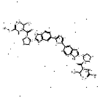 COC(=O)N[C@H](C(=O)N1CCC[C@H]1c1nc2cc(-c3ncc(-c4ccc5[nH]c([C@@H]6CCCN6C(=O)[C@@H](NC(=O)O)C(C)C)nc5c4)o3)ccc2[nH]1)C(C)C